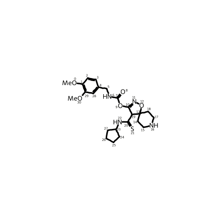 COc1ccc(CNC(=O)OC2=NOC3(CCNCC3)C2C(=S)NC2CCCC2)cc1OC